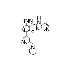 Fc1c(-c2cncc(CN3CCCCC3)c2)ncc2[nH]nc(-c3nc4cnccc4[nH]3)c12